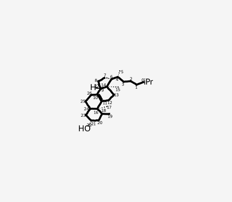 CC(C)CCC[C@@H](C)[C@H]1CC[C@H]2C3=C(CC[C@]12C)[C@@]1(C)C(C)C[C@H](O)CC1CC3